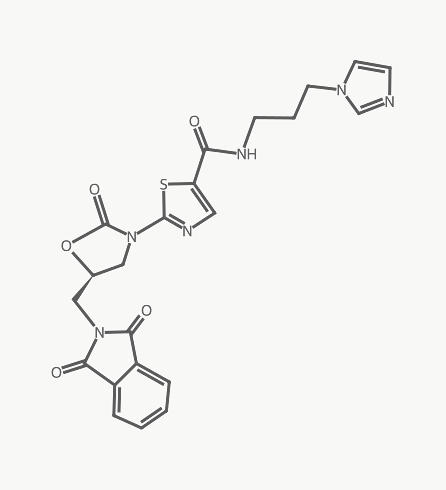 O=C(NCCCn1ccnc1)c1cnc(N2C[C@@H](CN3C(=O)c4ccccc4C3=O)OC2=O)s1